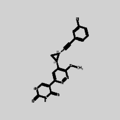 COc1nnc(-c2c[nH]c(=O)[nH]c2=O)cc1[C@H]1C[C@@H]1C#Cc1cccc(Cl)c1